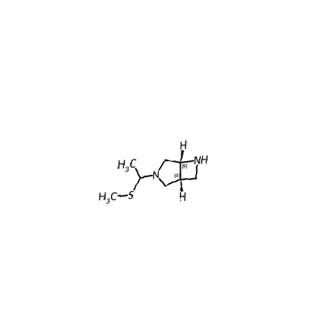 CSC(C)N1C[C@H]2CN[C@H]2C1